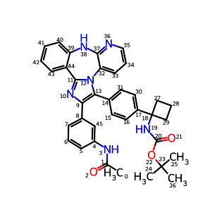 CC(=O)Nc1cccc(-c2nc3n(c2-c2ccc(C4(NC(=O)OC(C)(C)C)CCC4)cc2)-c2cccnc2Nc2ccccc2-3)c1